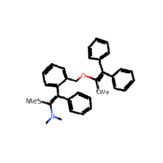 COC(OCc1ccccc1/C(=C(\SC)N(C)C)c1ccccc1)=C(c1ccccc1)c1ccccc1